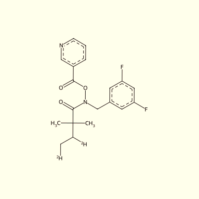 [2H]CC([2H])C(C)(C)C(=O)N(Cc1cc(F)cc(F)c1)OC(=O)c1cccnc1